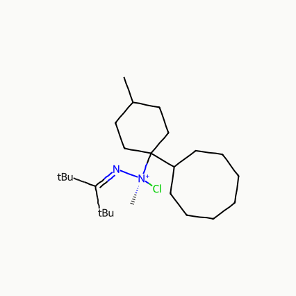 CC1CCC(C2CCCCCCC2)([N@@+](C)(Cl)N=C(C(C)(C)C)C(C)(C)C)CC1